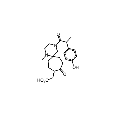 CC(C(=O)N1CCN(C)C2(CCC(=O)N(CC(=O)O)CC2)C1)c1ccc(O)cc1